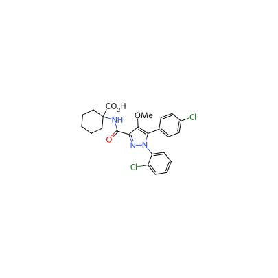 COc1c(C(=O)NC2(C(=O)O)CCCCC2)nn(-c2ccccc2Cl)c1-c1ccc(Cl)cc1